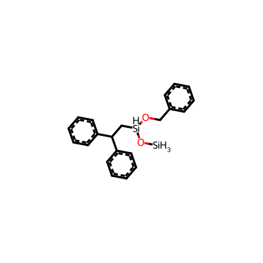 [SiH3]O[SiH](CC(c1ccccc1)c1ccccc1)OCc1ccccc1